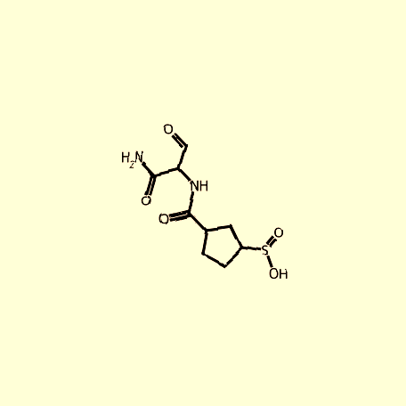 NC(=O)C(C=O)NC(=O)C1CCC(S(=O)O)C1